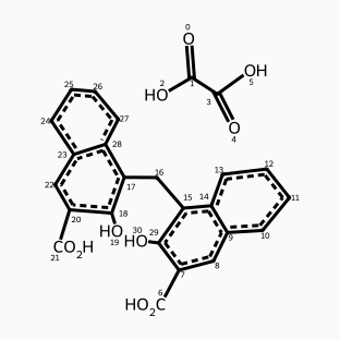 O=C(O)C(=O)O.O=C(O)c1cc2ccccc2c(Cc2c(O)c(C(=O)O)cc3ccccc23)c1O